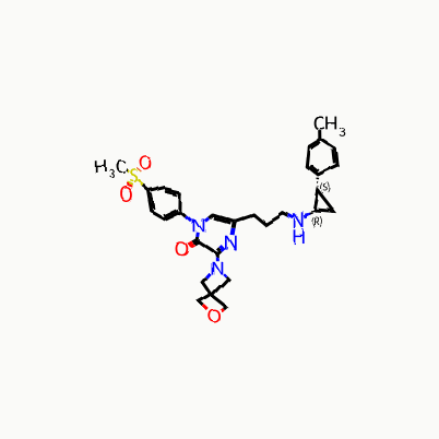 Cc1ccc([C@@H]2C[C@H]2NCCCc2cn(-c3ccc(S(C)(=O)=O)cc3)c(=O)c(N3CC4(COC4)C3)n2)cc1